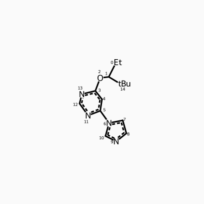 CCC(Oc1cc(-n2ccnc2)ncn1)C(C)(C)C